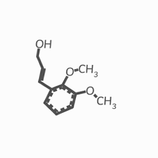 COc1cccc(/C=C/CO)c1OC